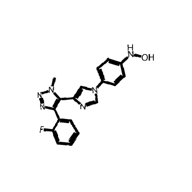 Cn1nnc(-c2ccccc2F)c1-c1cn(-c2ccc(NO)cc2)cn1